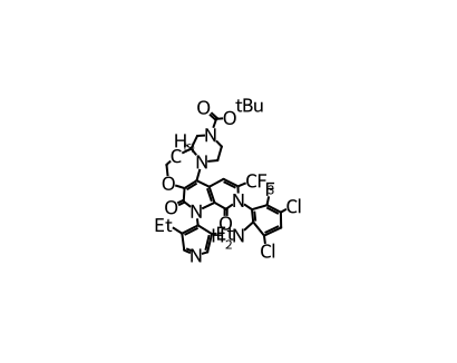 CCc1cncc(CC)c1-n1c(=O)c2c(c3cc(C(F)(F)F)n(-c4c(N)c(Cl)cc(Cl)c4F)c(=O)c31)N1CCN(C(=O)OC(C)(C)C)C[C@@H]1CCO2